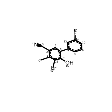 Cc1c(C#N)cc(-c2cccc(F)c2)c(O)c1Br